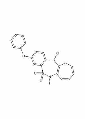 CN1C2=C(CC=CC=C2)C(Cl)c2ccc(Oc3ccccc3)cc2S1(=O)=O